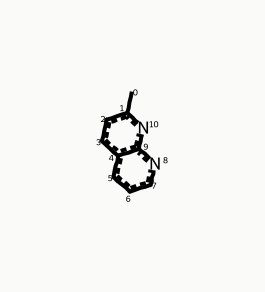 Cc1ccc2cccnc2n1